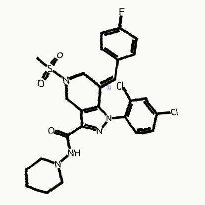 CS(=O)(=O)N1C/C(=C\c2ccc(F)cc2)c2c(c(C(=O)NN3CCCCC3)nn2-c2ccc(Cl)cc2Cl)C1